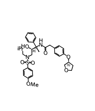 COc1ccc(S(=O)(=O)N(CC(C)C)C[C@@H](O)[C@@](C)(NC(=O)Cc2ccc(O[C@H]3CCOC3)cc2)c2ccccc2)cc1